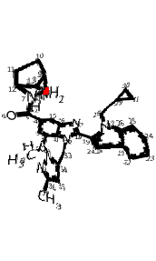 COc1cc(C(=O)N2CC3CCC2[C@@H]3N)cc2nc(-c3cc4ccccc4n3CC3CC3)n(Cc3cc(C)nn3C)c12